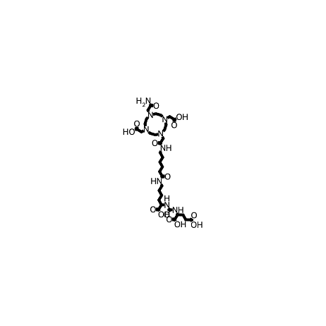 NC(=O)CN1CCN(CC(=O)O)CCN(CC(=O)NCCCCCC(=O)NCCCCC(NC(=O)NC(CCC(=O)O)C(=O)O)C(=O)O)CCN(CC(=O)O)CC1